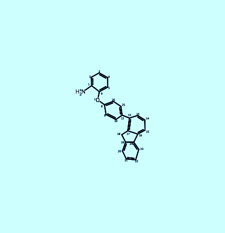 Nc1ccccc1Oc1ccc(-c2cccc3c2Cc2ccccc2-3)cc1